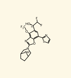 O[C@H](c1cc(-c2nccs2)c2oc(N3CC4CCC(C3)N4)nc2c1OC(F)(F)F)C(F)F